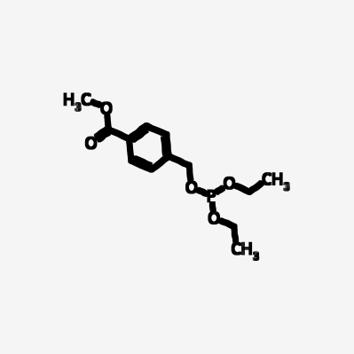 CCOP(OCC)OCc1ccc(C(=O)OC)cc1